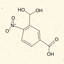 O=C(O)c1ccc([N+](=O)[O-])c(C(O)O)c1